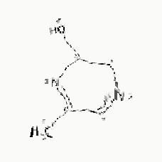 CC1=NC(O)CN=C1